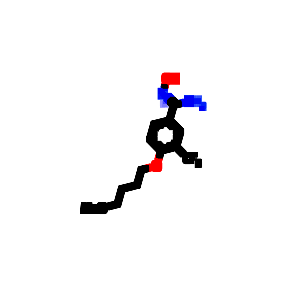 COCCCCOc1ccc(/C(N)=N/O)cc1C(F)(F)F